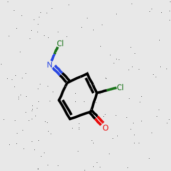 O=C1C=CC(=NCl)C=C1Cl